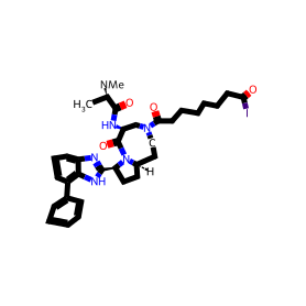 CN[C@@H](C)C(=O)N[C@H]1CN(C(=O)CCCCCCC(=O)I)CC[C@H]2CC[C@@H](c3nc4cccc(-c5ccccc5)c4[nH]3)N2C1=O